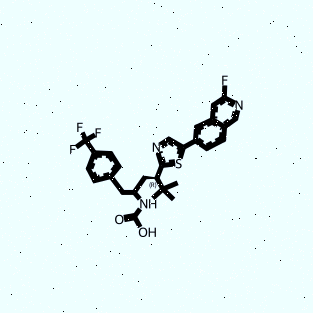 CC(C)(C)[C@@H](CC(Cc1ccc(C(F)(F)F)cc1)NC(=O)O)c1ncc(-c2ccc3cnc(F)cc3c2)s1